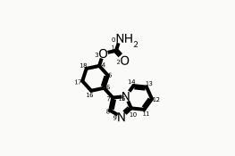 NC(=O)OC1C=C(c2cnc3ccccn23)CCC1